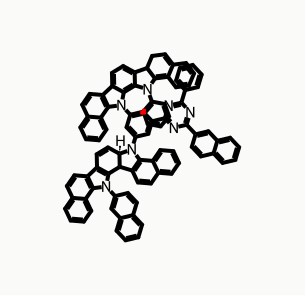 C1=C[C@@H]2C(c3ccc4ccccc4c3N2c2cc(-c3nc(-c4ccccc4)nc(-c4ccc5ccccc5c4)n3)cc(-n3c4c5c(ccc4c4ccc6ccccc6c43)C3CC=c4ccccc4=C3N5c3ccccc3)c2)c2c1c1ccc3ccccc3c1n2-c1ccc2ccccc2c1